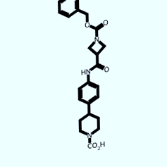 O=C(Nc1ccc(C2CCN(C(=O)O)CC2)cc1)C1CN(C(=O)OCc2ccccc2)C1